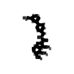 Cc1cncc(-c2ccc(CNC(=O)c3sc4nnc(C)c(C)c4c3N)cc2)c1